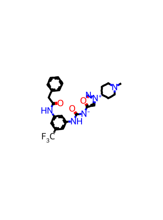 CN1CCC([n+]2cc([N-]C(=O)Nc3cc(NC(=O)Cc4ccccc4)cc(C(F)(F)F)c3)on2)CC1